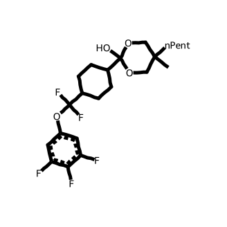 CCCCCC1(C)COC(O)(C2CCC(C(F)(F)Oc3cc(F)c(F)c(F)c3)CC2)OC1